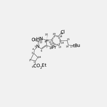 CCOC(=O)C1CC(CN2C=C(C(C)C)[C@](C)(c3ccc(CCC(C)(C)C)c(Cl)c3)NC2=O)C1